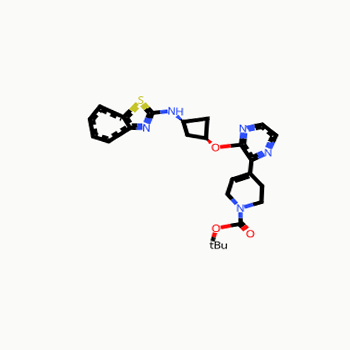 CC(C)(C)OC(=O)N1CC=C(c2nccnc2O[C@H]2C[C@@H](Nc3nc4ccccc4s3)C2)CC1